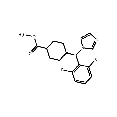 COC(=O)C1CCC([C@H](c2c(F)cccc2Br)n2ccnc2)CC1